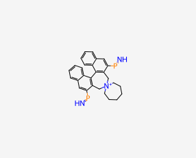 N=Pc1cc2ccccc2c2c1C[N+]1(CCCCCC1)Cc1c(P=N)cc3ccccc3c1-2